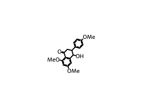 COc1ccc(C2CC(=O)c3c(OC)cc(OC)cc3C2O)cc1